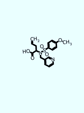 C=CCC(C(=O)O)N(Cc1cccnc1)S(=O)(=O)c1ccc(OC)cc1